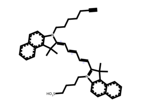 C#CCCCCCN1/C(=C/C=C/C=C/C2=[N+](CCCCS(=O)(=O)O)c3ccc4ccccc4c3C2(C)C)C(C)(C)c2c1ccc1ccccc21